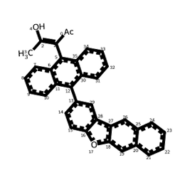 CC(=O)/C(=C(/C)O)c1c2ccccc2c(-c2ccc3oc4cc5ccccc5cc4c3c2)c2ccccc12